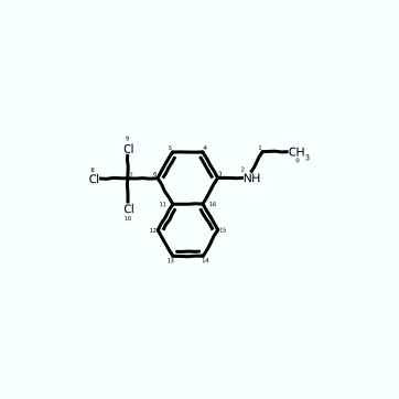 CCNc1ccc(C(Cl)(Cl)Cl)c2ccccc12